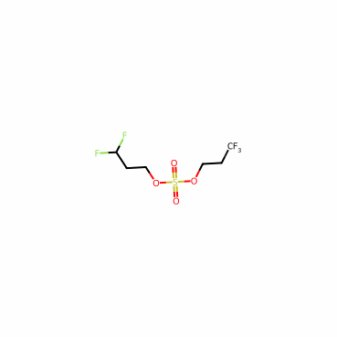 O=S(=O)(OCCC(F)F)OCCC(F)(F)F